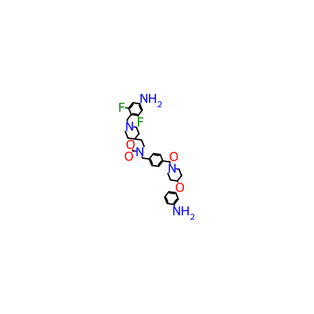 Nc1cccc(OC2CCN(C(=O)c3ccc(CN4CCC5(CCN(Cc6c(F)cc(N)cc6F)CC5)OC4=O)cc3)CC2)c1